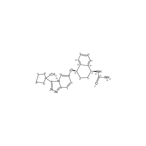 CC1(c2nnc3ccc(O[C@@H]4CC[C@H](NC(N)=O)c5ccccc54)cn23)CCCC1